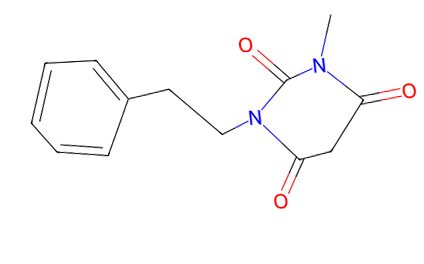 CN1C(=O)CC(=O)N(CCc2ccccc2)C1=O